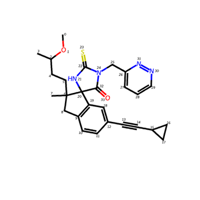 COC(C)CCC1(C)Cc2ccc(C#CC3CC3)cc2C12NC(=S)N(Cc1cccnn1)C2=O